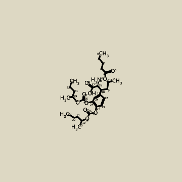 CCCCC(=O)OC(C)CC(c1ccc(OC(=O)OC(C)CCC)c(OC(=O)OC(C)CCC)c1)[C@H](N)C(=O)O